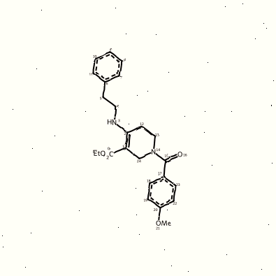 CCOC(=O)C1=C(NCCc2ccccc2)CCN(C(=O)c2ccc(OC)cc2)C1